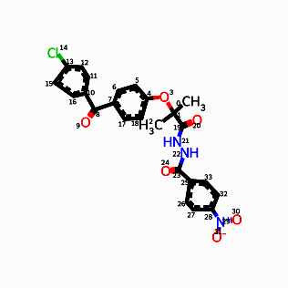 CC(C)(Oc1ccc(C(=O)c2ccc(Cl)cc2)cc1)C(=O)NNC(=O)c1ccc([N+](=O)[O-])cc1